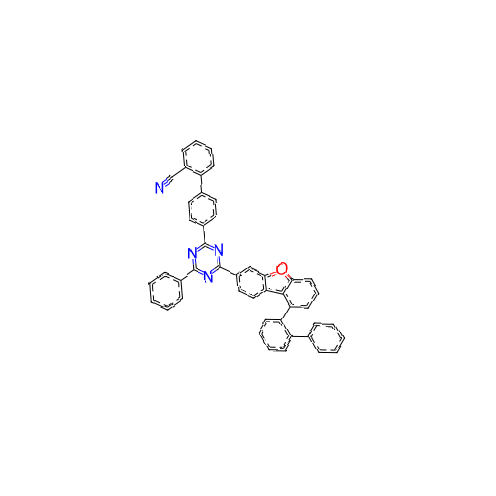 N#Cc1ccccc1-c1ccc(-c2nc(-c3ccccc3)nc(-c3ccc4c(c3)oc3cccc(-c5ccccc5-c5ccccc5)c34)n2)cc1